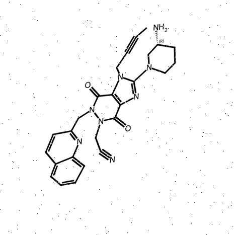 CC#CCn1c(N2CCC[C@@H](N)C2)nc2c(=O)n(CC#N)n(Cc3ccc4ccccc4n3)c(=O)c21